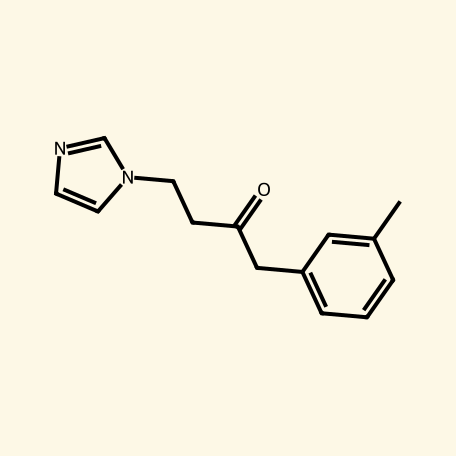 Cc1cccc(CC(=O)CCn2ccnc2)c1